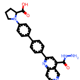 NNC(=O)c1cc(-c2ccc(-c3ccc(N4CCCC4C(=O)O)cc3)cc2)nc2ccncc12